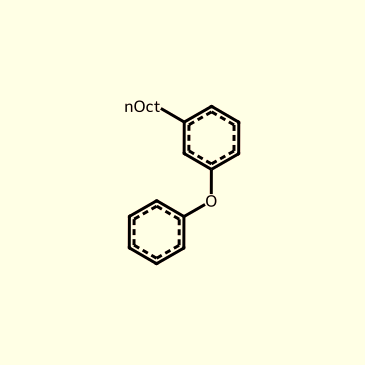 CCCCCCCCc1cccc(Oc2ccccc2)c1